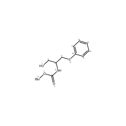 CC(C)(C)OC(=O)NC(CO)CSc1ccccc1